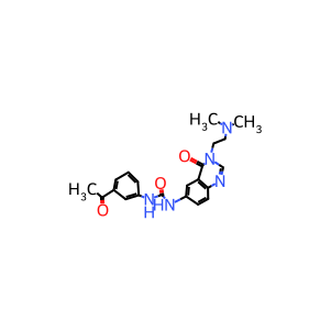 CC(=O)c1cccc(NC(=O)Nc2ccc3ncn(CCN(C)C)c(=O)c3c2)c1